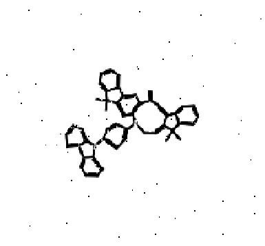 C=C1/C=C2\C(=C/CN(c3ccc(-n4c5ccccc5c5ccccc54)cc3)c3cc4c(cc31)-c1ccccc1C4(C)C)C(C)(C)c1ccccc12